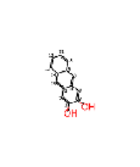 Oc1cc2c(cc1O)=CC1C=CC=CC1C=2